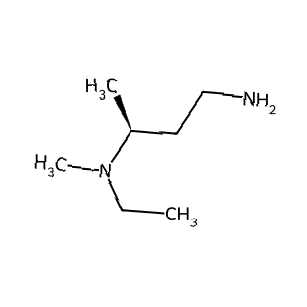 CCN(C)[C@@H](C)CCN